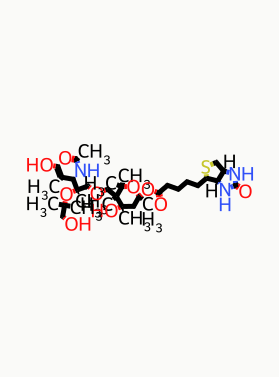 CC(=O)N[C@@H](/C(C)=C/O)[C@@](C)(COCC1(C)C(C)(C)OC(C)(OC(=O)CCCCC2SC[C@@H]3NC(=O)N[C@H]23)C[C@@]1(C)O)OC(C)(C)CO